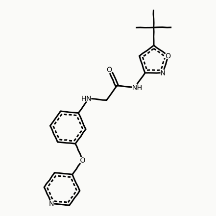 CC(C)(C)c1cc(NC(=O)CNc2cccc(Oc3ccncc3)c2)no1